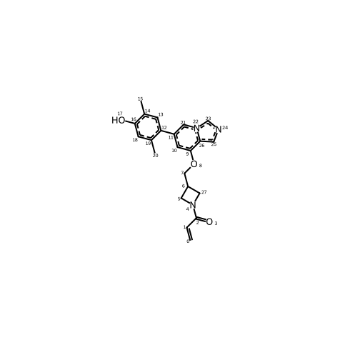 C=CC(=O)N1CC(COc2cc(-c3cc(C)c(O)cc3C)cn3cncc23)C1